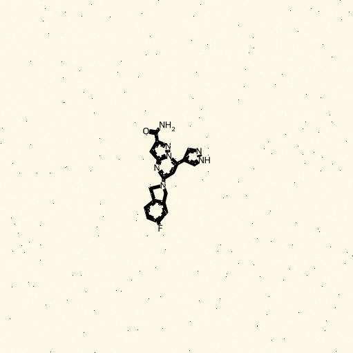 NC(=O)c1cc2nc(N3Cc4ccc(F)cc4C3)cc(-c3cn[nH]c3)n2n1